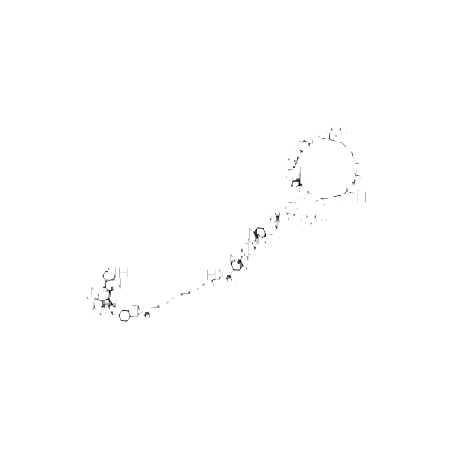 CO[C@H]1CC2CC[C@@H](C)C(O2)C(=O)C(=O)N2CCCC[C@H]2C(=O)O[C@H](CC[C@@H]2CC[C@@H](OC(=O)N3CCc4nc(N5CCN(c6ncc(C(=O)NCCOCCOCCOCCOCCC(=O)N7CCc8cc(Cn9nc(-c%10cnc%11[nH]ccc%11c%10)c%10c(N)ncnc%109)ccc8C7)cn6)CC5)ncc4C3)[C@H](OC)C2)CC(=O)[C@H](C)/C=C(\C)[C@@H](O)CC(=O)[C@H](C)C[C@H](C)/C=C/C=C/C=C/1C